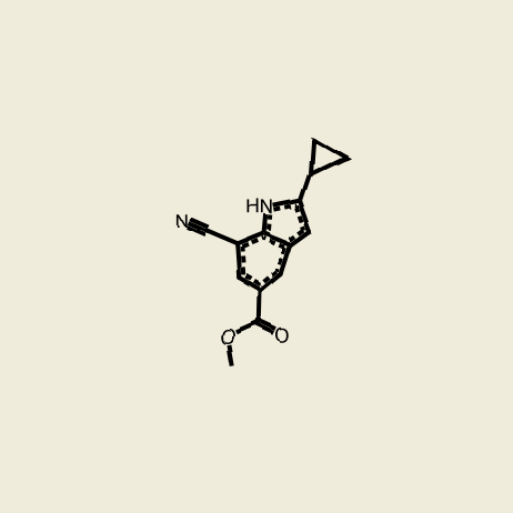 COC(=O)c1cc(C#N)c2[nH]c(C3CC3)cc2c1